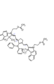 CC(=O)OCCN1/C(=C/C=C2\CCC(/C=C/C3=[N+](CCOC(C)=O)c4ccc5ccccc5c4C3(C)C)=C2N(c2ccccc2)c2ccccc2)C(C)(C)c2c1ccc1ccccc21